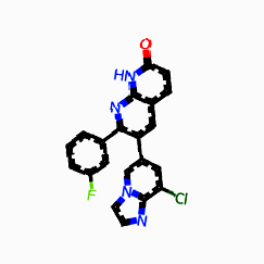 O=c1ccc2cc(-c3cc(Cl)c4nccn4c3)c(-c3cccc(F)c3)nc2[nH]1